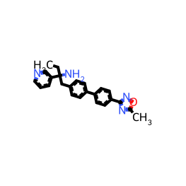 CCC(N)(Cc1ccc(-c2ccc(-c3noc(C)n3)cc2)cc1)c1cccnc1